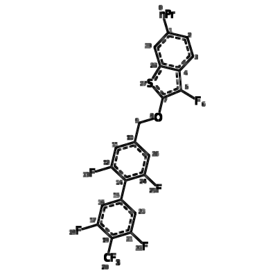 CCCc1ccc2c(F)c(OCc3cc(F)c(-c4cc(F)c(C(F)(F)F)c(F)c4)c(F)c3)sc2c1